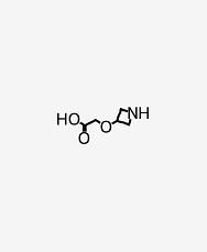 O=C(O)COC1CNC1